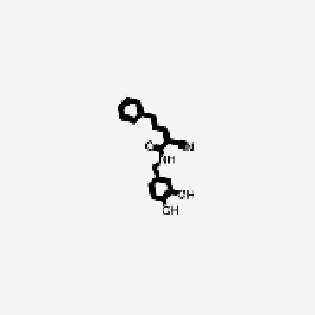 N#CC(=CC=Cc1ccccc1)C(=O)NCc1ccc(O)c(O)c1